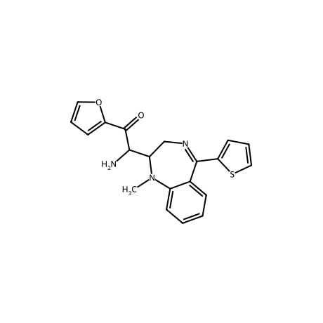 CN1c2ccccc2C(c2cccs2)=NCC1C(N)C(=O)c1ccco1